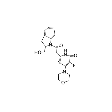 O=C(Cc1nc(N2CCOCC2)c(F)c(=O)[nH]1)N1c2ccccc2CC1CO